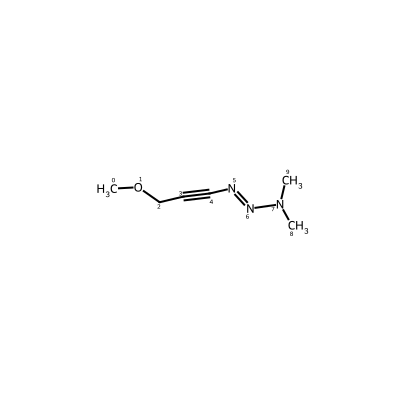 COCC#C/N=N/N(C)C